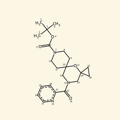 CC(C)(C)OC(=O)N1CCC2(CC1)CN(C(=O)c1ccccn1)CC1(CC1)O2